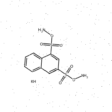 NOS(=O)(=O)c1cc(S(=O)(=O)ON)c2ccccc2c1.[KH]